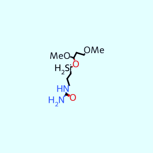 COCCC(OC)O[SiH2]CCCNC(N)=O